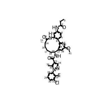 CCC(=O)Nc1ccc2c(c1)NC(=O)[C@@H](C)CCC[C@H](NC(=O)c1cnn(-c3cccc(Cl)c3F)c1C)c1cc(OC)nc-2c1